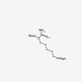 CCCCCC[CH]CCCCCC(OC)C(N)=O